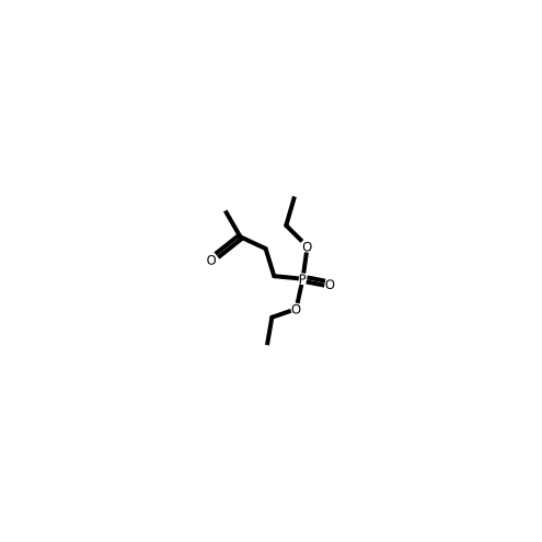 CCOP(=O)(CCC(C)=O)OCC